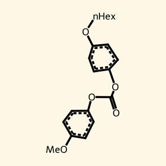 CCCCCCOc1ccc(OC(=O)Oc2ccc(OC)cc2)cc1